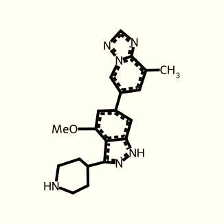 COc1cc(-c2cc(C)c3ncnn3c2)cc2[nH]nc(C3CCNCC3)c12